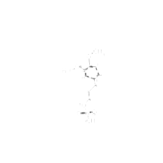 COc1ccc(CCCOS(C)(=O)=O)cc1OC